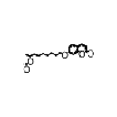 CC(CCCCCCCOc1ccc2ccc(=O)oc2c1)O[C]=O